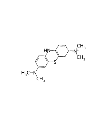 CN(C)c1ccc2c(c1)SC1=C(C=CC(=[N+](C)C)C1)N2